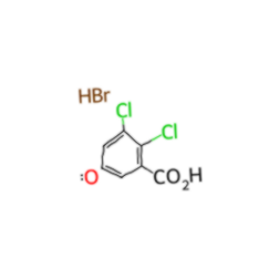 Br.O=C(O)c1cccc(Cl)c1Cl.[O]